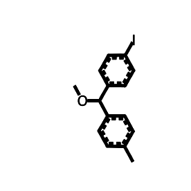 COC(c1ccc(C)cc1)c1ccc(I)cc1